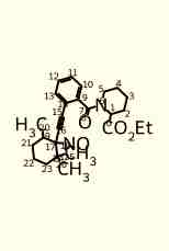 CCOC(=O)C1CCCCN1C(=O)c1ccccc1C#CC1(N=O)C(C)CCCC1(C)C